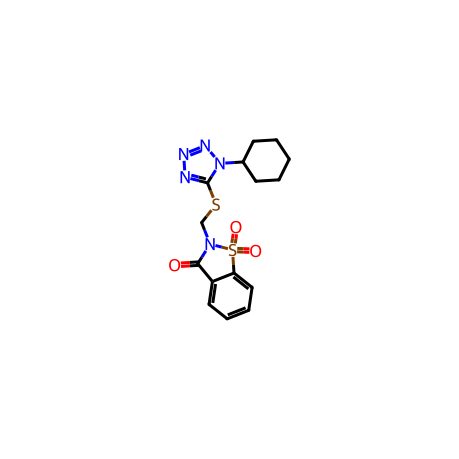 O=C1c2ccccc2S(=O)(=O)N1CSc1nnnn1C1CCCCC1